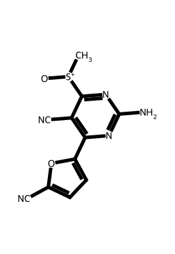 C[S+]([O-])c1nc(N)nc(-c2ccc(C#N)o2)c1C#N